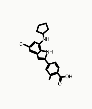 Cc1cc(-c2cc3cc(Cl)cc(NC4CCCC4)c3[nH]2)ccc1C(=O)O